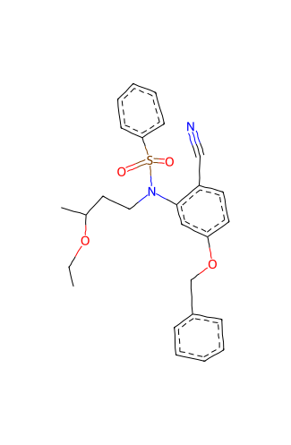 CCOC(C)CCN(c1cc(OCc2ccccc2)ccc1C#N)S(=O)(=O)c1ccccc1